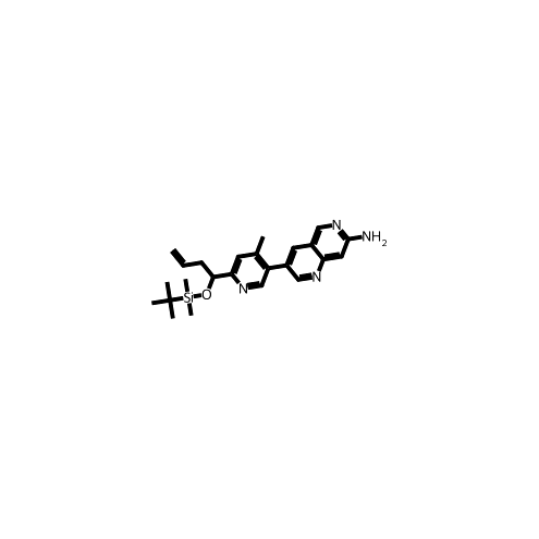 C=CCC(O[Si](C)(C)C(C)(C)C)c1cc(C)c(-c2cnc3cc(N)ncc3c2)cn1